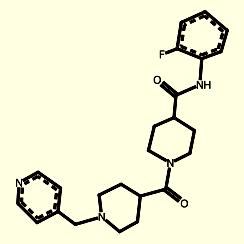 O=C(Nc1ccccc1F)C1CCN(C(=O)C2CCN(Cc3ccncc3)CC2)CC1